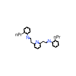 CCCc1ccccc1N=CCc1cccc(CC=Nc2ccccc2CCC)n1